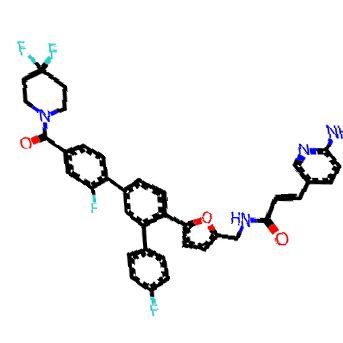 Nc1ccc(C=CC(=O)NCc2ccc(-c3ccc(-c4ccc(C(=O)N5CCC(F)(F)CC5)cc4F)cc3-c3ccc(F)cc3)o2)cn1